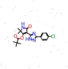 CC(C)(C)C(=O)OC1=C(c2nc(-c3ccc(Cl)cc3)n[nH]2)C(=O)NC1(C)C